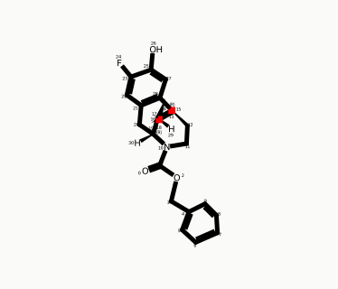 O=C(OCc1ccccc1)N1CC[C@]23CCCC[C@H]2[C@H]1Cc1cc(F)c(O)cc13